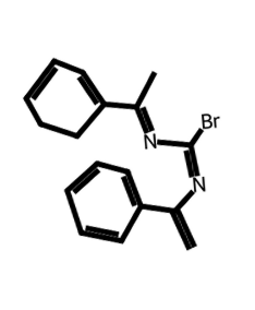 C=C(/N=C(Br)\N=C(/C)C1=CC=CCC1)c1ccccc1